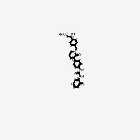 CC[C@@H](CC(=O)O)c1ccc(Cn2cccc(-c3ccc(NC(=O)Nc4ccccc4C)cc3)c2=O)cc1